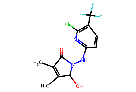 CC1=C(C)C(O)N(Nc2ccc(C(F)(F)F)c(Cl)n2)C1=O